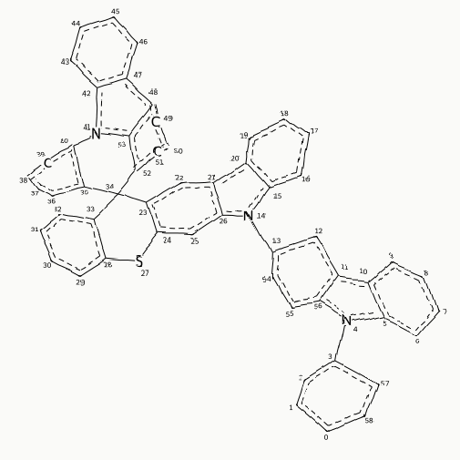 c1ccc(-n2c3ccccc3c3cc(-n4c5ccccc5c5cc6c(cc54)Sc4ccccc4C64c5ccccc5-n5c6ccccc6c6cccc4c65)ccc32)cc1